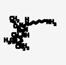 C=CCOc1nc(NCCCCCCN)nc(NC2CC(C)(C)NC(C)(C)C2)n1